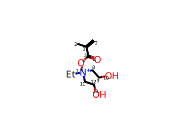 C=C(C)C(=O)O[N+](CC)(CCO)CCO